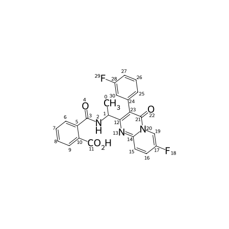 CC(NC(=O)c1ccccc1C(=O)O)c1nc2ccc(F)cn2c(=O)c1-c1cccc(F)c1